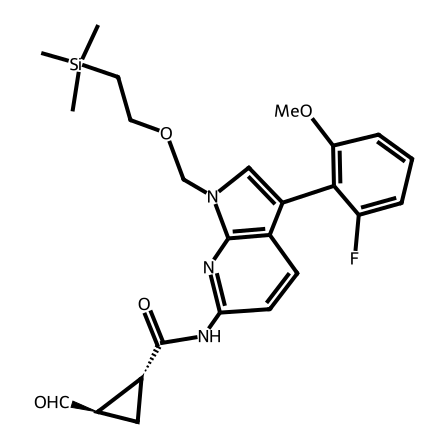 COc1cccc(F)c1-c1cn(COCC[Si](C)(C)C)c2nc(NC(=O)[C@@H]3C[C@H]3C=O)ccc12